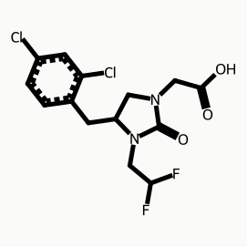 O=C(O)CN1CC(Cc2ccc(Cl)cc2Cl)N(CC(F)F)C1=O